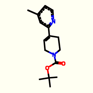 Cc1ccnc(C2=CCN(C(=O)OC(C)(C)C)CC2)c1